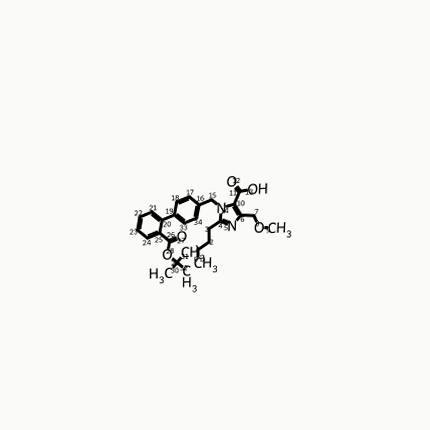 CCCCc1nc(COC)c(C(=O)O)n1Cc1ccc(-c2ccccc2C(=O)OC(C)(C)C)cc1